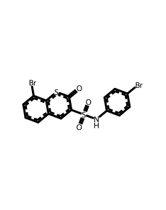 O=c1sc2c(Br)cccc2cc1S(=O)(=O)Nc1ccc(Br)cc1